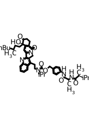 CCCCC(C)CC[C@]1(O)C(=O)CCc2c1cc1n(c2=O)Cc2c-1nc1ccccc1c2CCN(C(=O)OCc1ccc(NC(=O)[C@H](C)NC(=O)[C@@H](C)C(C)C)cc1)C(C)C